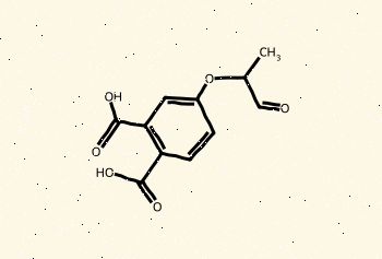 CC(C=O)Oc1ccc(C(=O)O)c(C(=O)O)c1